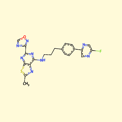 Cc1nc2c(NCCCc3ccc(-c4cnc(F)cn4)cc3)nc(-c3ncon3)nc2s1